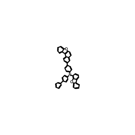 c1ccc(-c2ccc(N(c3ccc(-c4ccc5c(ccc6oc7ccccc7c65)c4)cc3)c3cccc4c3oc3ccccc34)cc2)cc1